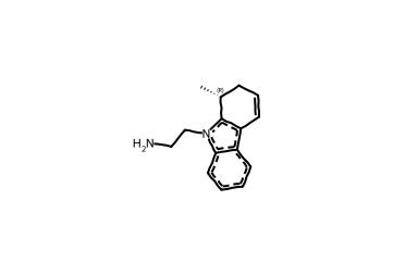 C[C@@H]1CC=Cc2c1n(CCN)c1ccccc21